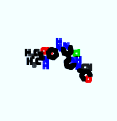 C[C@H](O)[C@@H](C)N[C@H]1CC[C@H](Nc2cc(-c3cccc(NCC4(C#N)CCOCC4)n3)c(Cl)cn2)CC1